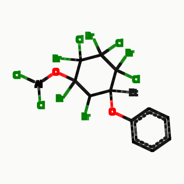 CCC1(Oc2ccccc2)C(Br)C(Br)([O][Al]([Cl])[Cl])C(Cl)(Br)C(Cl)(Br)C1(Cl)Br